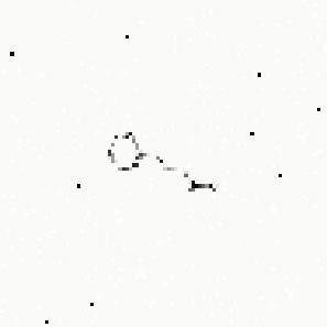 [S]SCCCc1ccccc1